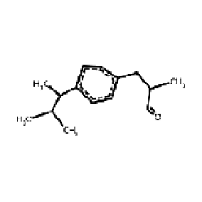 CC(C=O)Cc1ccc(C(C)C(C)C)cc1